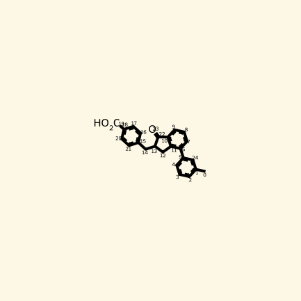 Cc1cccc(-c2cccc3c2CC(Cc2ccc(C(=O)O)cc2)C3=O)c1